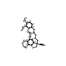 CCC(C#N)(CCCC(Cc1ccc(OC)c(OC)c1)[N+](=O)[O-])c1ccc(OC)c(OC)c1